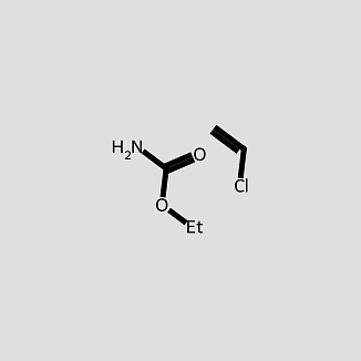 C=CCl.CCOC(N)=O